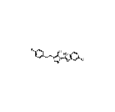 Oc1c(CCc2ccc(F)cc2)cnn1-c1nc2cc(Cl)ccc2[nH]1